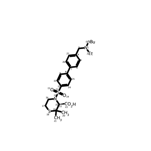 CCCCN(CC)Cc1ccc(-c2ccc(S(=O)(=O)N3CCSC(C)(C)[C@@H]3C(=O)O)cc2)cc1